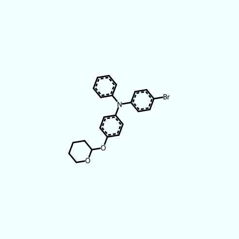 Brc1ccc(N(c2ccccc2)c2ccc(OC3CCCCO3)cc2)cc1